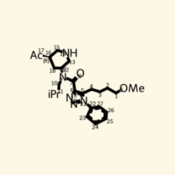 COCCCCc1c(C(=O)N(CC(C)C)[C@@H]2CNC[C@H](C(C)=O)C2)nnn1-c1ccccc1